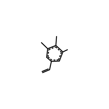 C=Cc1cc(C)c(C)c(C)c1